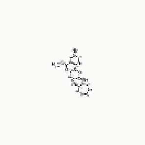 COC(=O)c1cc(Br)cnc1N1CCC(NC2CCCCCC2)C(O)C1